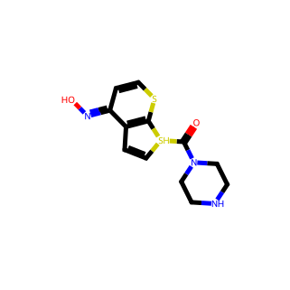 O=C(N1CCNCC1)[SH]1C=Cc2c1sccc2=NO